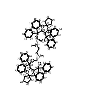 CN(CCN(C)P1OC(c2ccccc2)(c2ccccc2)C2OC3(CCCC3)O[C@H]2C(c2ccccc2)(c2ccccc2)O1)P1OC(c2ccccc2)(c2ccccc2)C2OC3(CCCC3)OC2C(c2ccccc2)(c2ccccc2)O1